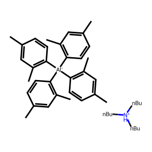 CCCC[NH+](CCCC)CCCC.Cc1cc[c]([Al-]([c]2ccc(C)cc2C)([c]2ccc(C)cc2C)[c]2ccc(C)cc2C)c(C)c1